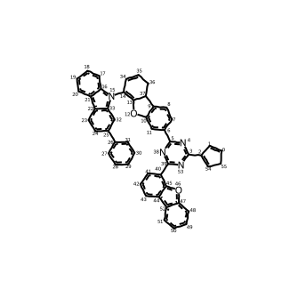 C1=CC(c2nc(-c3ccc4c(c3)OC3=C(n5c6ccccc6c6ccc(-c7ccccc7)cc65)C=CCC34)nc(-c3cccc4c3oc3ccccc34)n2)=CC1